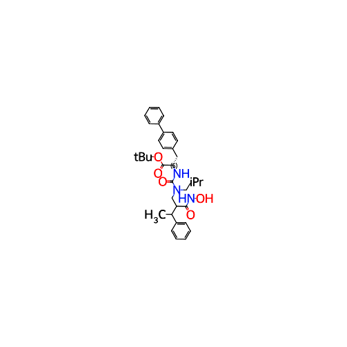 CC(C)CN(CC(C(=O)NO)C(C)c1ccccc1)C(=O)N[C@@H](Cc1ccc(-c2ccccc2)cc1)C(=O)OC(C)(C)C